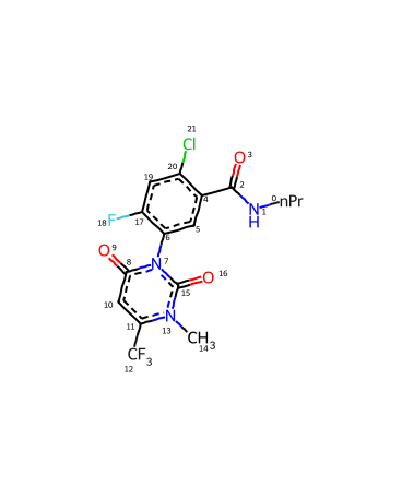 CCCNC(=O)c1cc(-n2c(=O)cc(C(F)(F)F)n(C)c2=O)c(F)cc1Cl